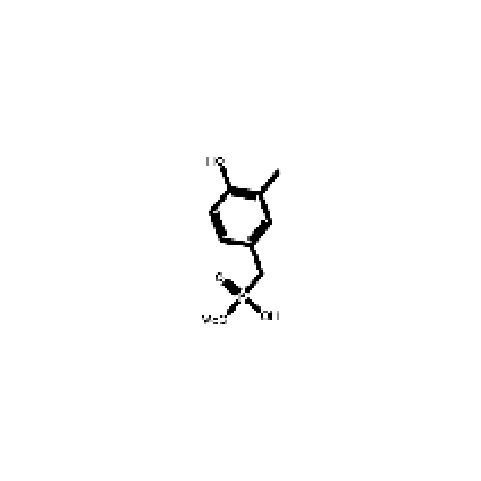 COP(=O)(O)Cc1ccc(O)c(C)c1